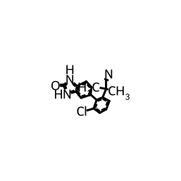 CC(C)(C#N)c1cccc(Cl)c1-c1ccc2[nH]c(=O)[nH]c2c1